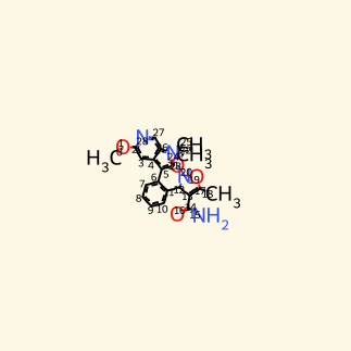 COc1cc2c(-c3ccccc3C3C(C(N)=O)=C(C)ON3OC)cn(C)c2cn1